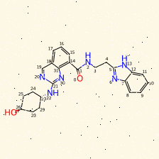 O=C(NCCc1nc2ccccc2[nH]1)c1cccc2cnc(N[C@H]3CC[C@H](O)CC3)nc12